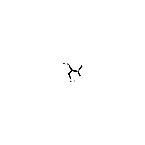 CNC(CO)N(C)C